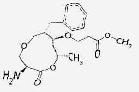 COC(=O)CCO[C@@H]1[C@@H](Cc2ccccc2)COC[C@H](N)C(=O)O[C@H]1C